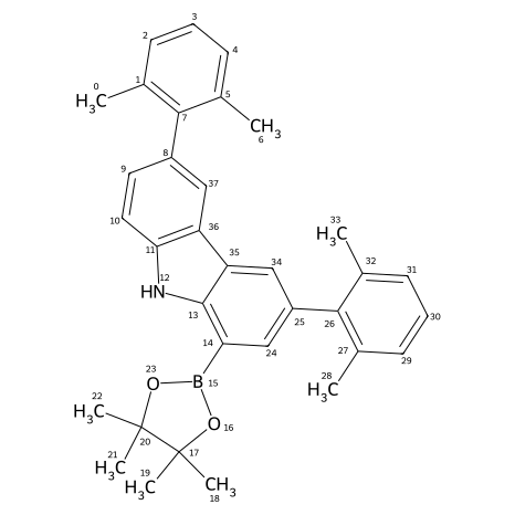 Cc1cccc(C)c1-c1ccc2[nH]c3c(B4OC(C)(C)C(C)(C)O4)cc(-c4c(C)cccc4C)cc3c2c1